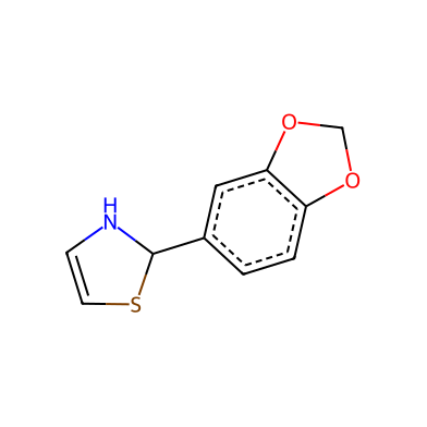 C1=CSC(c2ccc3c(c2)OCO3)N1